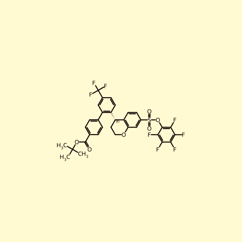 CC(C)(C)OC(=O)c1ccc(-c2cc(C(F)(F)F)ccc2[C@H]2CCOc3cc(S(=O)(=O)Oc4c(F)c(F)c(F)c(F)c4F)ccc32)cc1